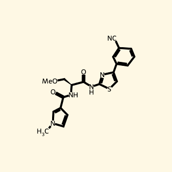 COC[C@H](NC(=O)c1ccn(C)c1)C(=O)Nc1nc(-c2cccc(C#N)c2)cs1